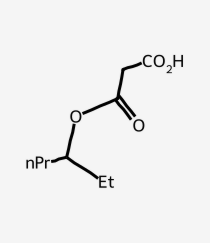 CCCC(CC)OC(=O)CC(=O)O